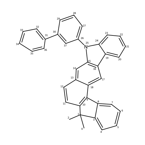 CC1(C)c2ccccc2-c2c1ccc1cc3c(cc21)c1ccccc1n3-c1cccc(-c2ccccc2)c1